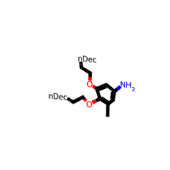 CCCCCCCCCCCCOc1cc(N)cc(C)c1OCCCCCCCCCCCC